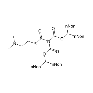 CCCCCCCCCC(CCCCCCCCC)OC(=O)N(C(=O)OC(CCCCCCCCC)CCCCCCCCC)C(=O)SCCN(C)C